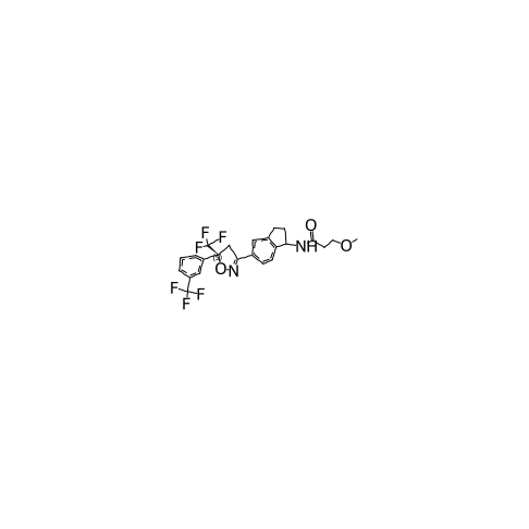 COCCC(=O)NC1CCc2cc(C3=NO[C@@](c4cccc(C(F)(F)F)c4)(C(F)(F)F)C3)ccc21